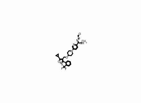 CN/C(=N\OC=O)c1ccc(N2CCC(OCc3c(-c4ccccc4C(F)(F)F)noc3C3CC3)CC2)cn1